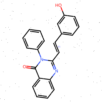 O=c1c2ccccc2nc(/C=C/c2cccc(O)c2)n1-c1ccccc1